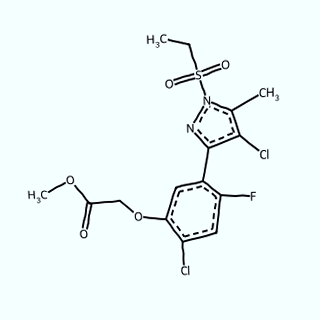 CCS(=O)(=O)n1nc(-c2cc(OCC(=O)OC)c(Cl)cc2F)c(Cl)c1C